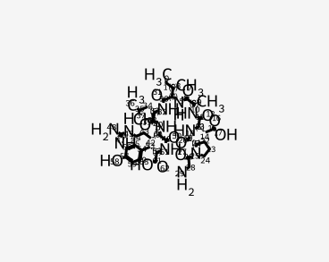 CC[C@H](C)[C@H](NC(=O)[C@H](C)NC(=O)[C@H](CC(=O)O)NC(=O)[C@@H]1CCCN1C(=O)CN)C(=O)N[C@@H](CC(C)C)C(=O)N[C@@H](CCCNC(=N)N)C(=O)N[C@@H](Cc1ccc(O)cc1)C(=O)O